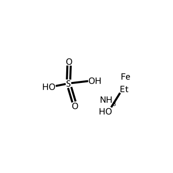 CCO.N.O=S(=O)(O)O.[Fe]